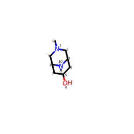 CN1CC2CC(O)CC(C1)N2C